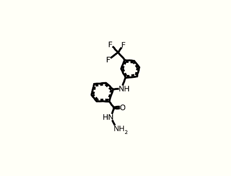 NNC(=O)c1ccccc1Nc1cccc(C(F)(F)F)c1